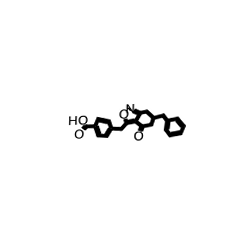 O=C(O)c1ccc(Cc2onc3c2C(=O)CC(Cc2ccccc2)C3)cc1